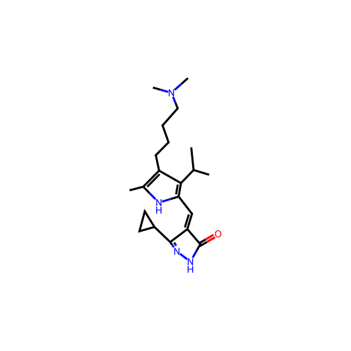 Cc1[nH]c(C=C2C(=O)NN=C2C2CC2)c(C(C)C)c1CCCCN(C)C